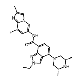 CCn1cc2c(N3C[C@@H](C)N[C@H](C)C3)ccc(C(=O)Nc3cc(F)c4nc(C)cn4c3)c2n1